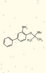 CC(C)(C)[Si](C)(C)Oc1ccc(-c2ccccc2)cc1N